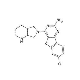 Nc1nc(N2CC3CCCNC3C2)c2sc3cc(Cl)ccc3c2n1